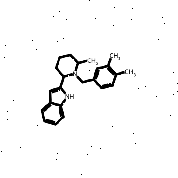 Cc1ccc(CN2C(C)CCCC2c2cc3ccccc3[nH]2)cc1C